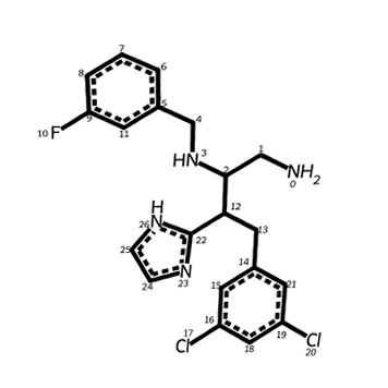 NCC(NCc1cccc(F)c1)C(Cc1cc(Cl)cc(Cl)c1)c1ncc[nH]1